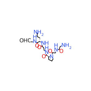 NCCC[C@H](NC(=O)CCNC(=O)[C@@H]1CCCN1C(=O)CNC(=O)CN)C(=O)NCC=O